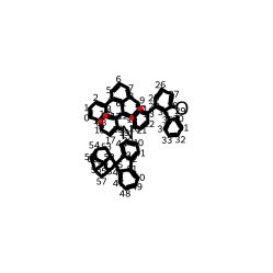 c1ccc(-c2cccc3cccc(-c4ccccc4N(c4ccc(-c5cccc6oc7ccccc7c56)cc4)c4ccc5c(c4)C4(c6ccccc6-5)C5CC6CC7CC4C75C6)c23)cc1